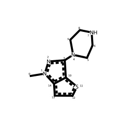 Cn1nc(N2CCNCC2)c2sccc21